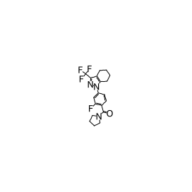 O=C(c1ccc(-n2nc(C(F)(F)F)c3c2CCCC3)cc1F)N1CCCC1